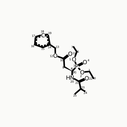 CCOP(=O)(OCC)[C@H](CC(=O)OCc1ccccc1)NC(=O)C(C)C